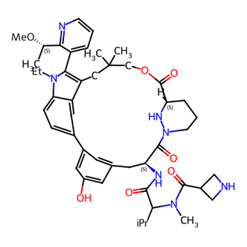 CCn1c(-c2cccnc2[C@H](C)OC)c2c3cc(ccc31)-c1cc(O)cc(c1)C[C@H](NC(=O)C(C(C)C)N(C)C(=O)C1CNC1)C(=O)N1CCC[C@H](N1)C(=O)OCC(C)(C)C2